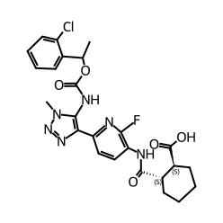 CC(OC(=O)Nc1c(-c2ccc(NC(=O)[C@H]3CCCC[C@@H]3C(=O)O)c(F)n2)nnn1C)c1ccccc1Cl